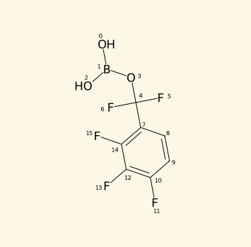 OB(O)OC(F)(F)c1ccc(F)c(F)c1F